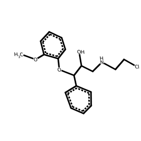 COc1ccccc1OC(c1ccccc1)C(O)CNCCCl